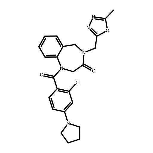 Cc1nnc(CN2Cc3ccccc3N(C(=O)c3ccc(N4CCCC4)cc3Cl)CC2=O)o1